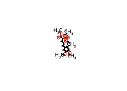 CCOC(=O)C(CCCc1ccc(OC)c(OC)c1)P(=O)(OCC)OCC